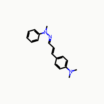 CN(C)c1ccc(C=CC=NN(C)c2ccccc2)cc1